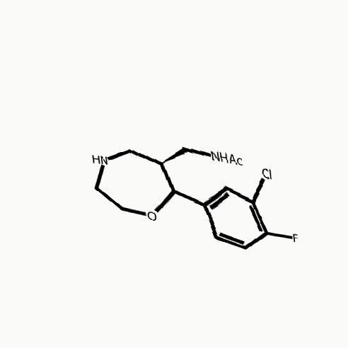 CC(=O)NC[C@@H]1CNCCOC1c1ccc(F)c(Cl)c1